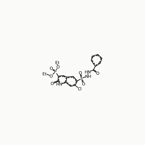 CCOP(=O)(OCC)c1cc2cc(S(=O)(=O)NNC(=O)c3ccccc3)c(Cl)cc2[nH]c1=O